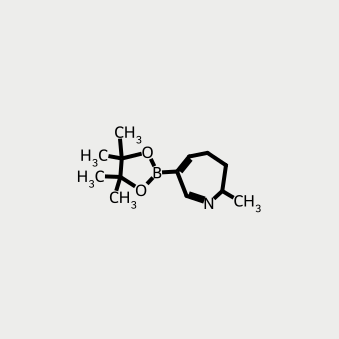 CC1CCC=C(B2OC(C)(C)C(C)(C)O2)C=N1